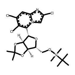 CC1(C)O[C@@H]2[C@H](O1)[C@@H](CO[Si](C)(C)C(C)(C)C)O[C@H]2c1c(Cl)c(Cl)cc2nc(Cl)cn12